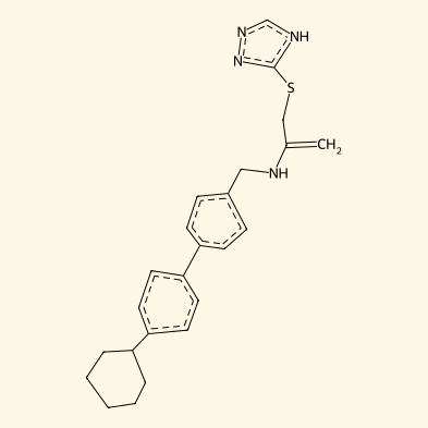 C=C(CSc1nnc[nH]1)NCc1ccc(-c2ccc(C3CCCCC3)cc2)cc1